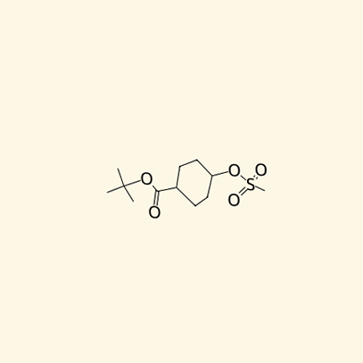 CC(C)(C)OC(=O)C1CCC(OS(C)(=O)=O)CC1